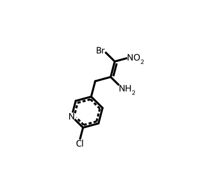 NC(Cc1ccc(Cl)nc1)=C(Br)[N+](=O)[O-]